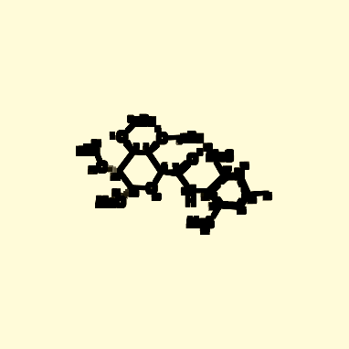 CCCCO[C@H]1[C@@H](OCCCC)[C@@H](C(=O)Nc2c(SC)cc(C)nc2SC)O[C@H](OC)[C@@H]1OCCCC